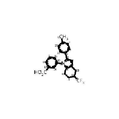 Cc1ccc(-c2cc3c(n2-c2cccc(C(=O)O)c2)CCC(C(F)(F)F)C3)cc1